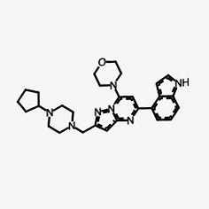 c1cc(-c2cc(N3CCOCC3)n3nc(CN4CCN(C5CCCC5)CC4)cc3n2)c2cc[nH]c2c1